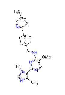 COc1cnc(-c2c(C)ncn2C(C)C)nc1NCC12CCC(c3ccc(C(F)(F)F)cn3)(CC1)CC2